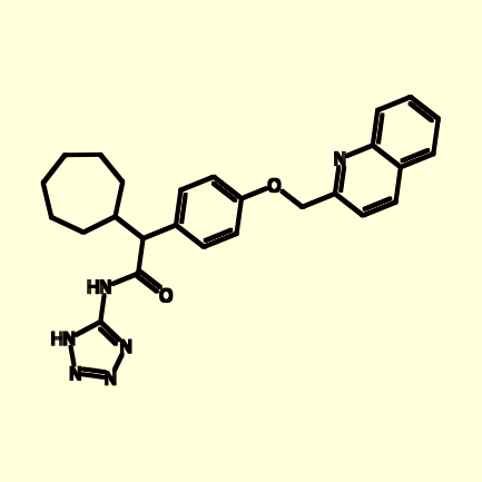 O=C(Nc1nnn[nH]1)C(c1ccc(OCc2ccc3ccccc3n2)cc1)C1CCCCCC1